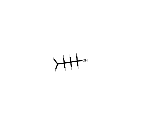 OC(I)(I)C(I)(I)C(I)(I)C(I)I